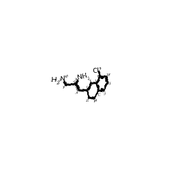 NCC(N)CC1=Cc2c(Cl)cccc2CC1